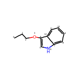 CC[CH]Oc1c[nH]c2ccccc12